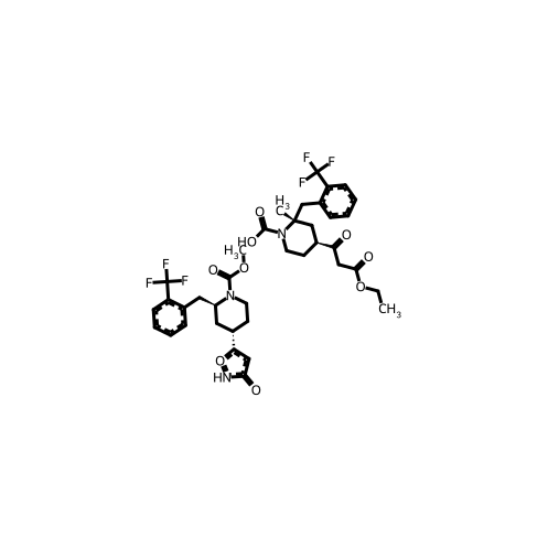 CCOC(=O)CC(=O)[C@H]1CCN(C(=O)O)[C@](C)(Cc2ccccc2C(F)(F)F)C1.COC(=O)N1CC[C@H](c2cc(=O)[nH]o2)C[C@H]1Cc1ccccc1C(F)(F)F